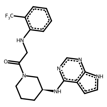 O=C(CNc1ccccc1C(F)(F)F)N1CCC[C@H](Nc2ncnc3[nH]ccc23)C1